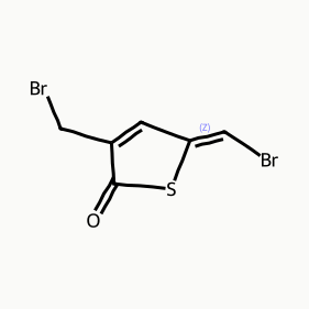 O=C1S/C(=C\Br)C=C1CBr